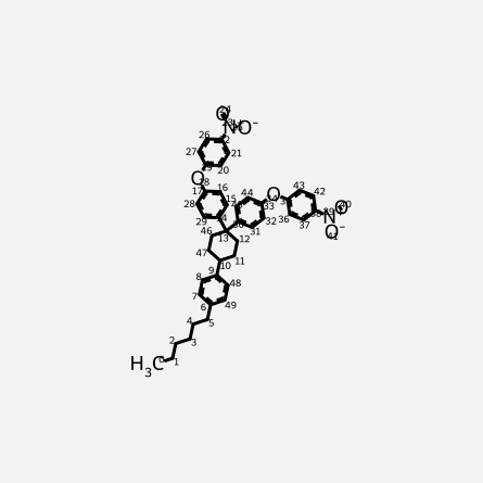 CCCCCCc1ccc(C2CCC(c3ccc(Oc4ccc([N+](=O)[O-])cc4)cc3)(c3ccc(Oc4ccc([N+](=O)[O-])cc4)cc3)CC2)cc1